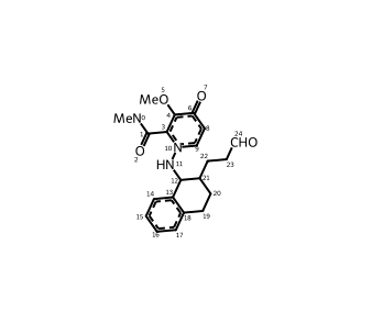 CNC(=O)c1c(OC)c(=O)ccn1NC1c2ccccc2CCC1CCC=O